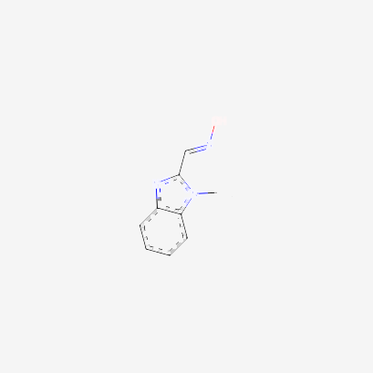 Cn1c(C=NO)nc2ccccc21